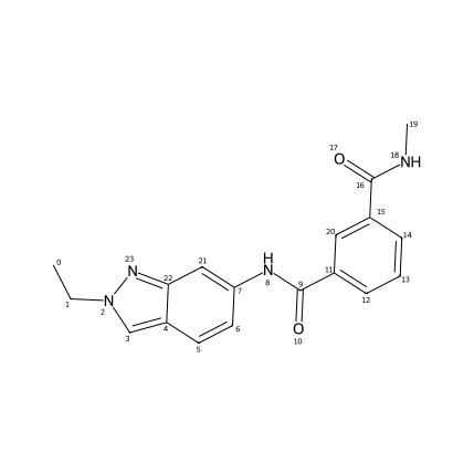 CCn1cc2ccc(NC(=O)c3cccc(C(=O)NC)c3)cc2n1